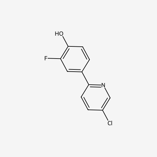 Oc1ccc(-c2ccc(Cl)cn2)cc1F